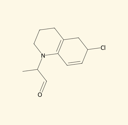 CC(C=O)N1CCCC2=C1C=CC(Cl)C2